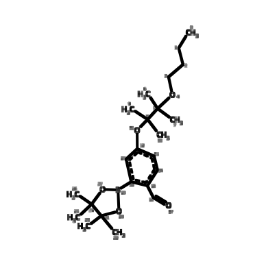 CCCCOC(C)(C)C(C)(C)Oc1ccc(C=O)c(B2OC(C)(C)C(C)(C)O2)c1